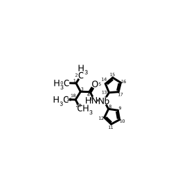 CC(C)C(C(=O)[NH][Nb]([CH]1C=CC=C1)[CH]1C=CC=C1)C(C)C